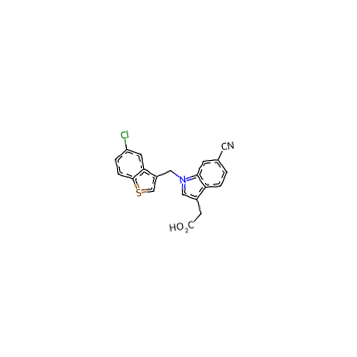 N#Cc1ccc2c(CC(=O)O)cn(Cc3csc4ccc(Cl)cc34)c2c1